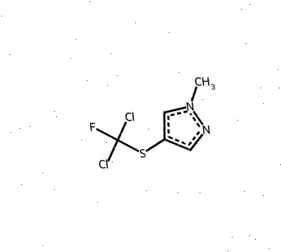 Cn1cc(SC(F)(Cl)Cl)cn1